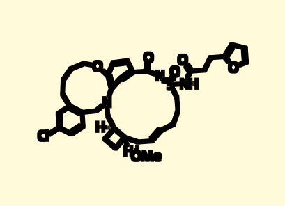 CO[C@H]1/C=C/CCCS(=O)(NC(=O)CCc2ccco2)=NC(=O)c2ccc3c(c2)N(Cc2ccc(Cl)cc2CCCCO3)C[C@@H]2CC[C@H]21